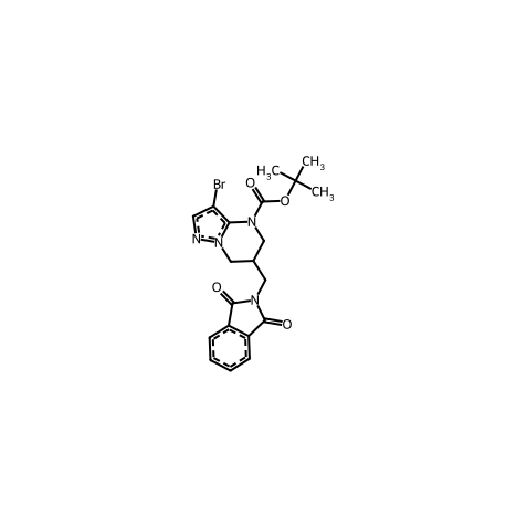 CC(C)(C)OC(=O)N1CC(CN2C(=O)c3ccccc3C2=O)Cn2ncc(Br)c21